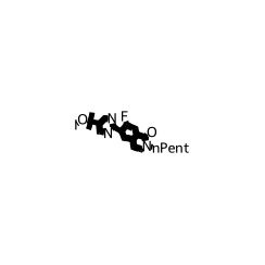 CCCCCn1ccc2cc(-c3ncc(C(C)(C)OI)cn3)c(F)cc2c1=O